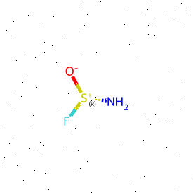 N[S@@+]([O-])F